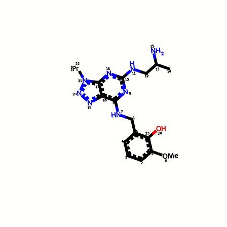 COc1cccc(CNc2nc(NCC(C)N)nc3c2nnn3C(C)C)c1O